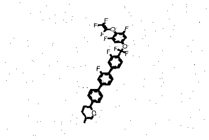 CC1CCC(c2ccc(-c3ccc(-c4ccc(C(F)(F)Oc5cc(F)c(OC(F)=C(F)F)c(F)c5)c(F)c4)c(F)c3)cc2)OC1